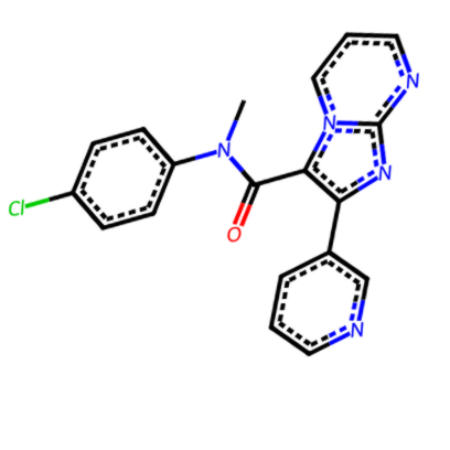 CN(C(=O)c1c(-c2cccnc2)nc2ncccn12)c1ccc(Cl)cc1